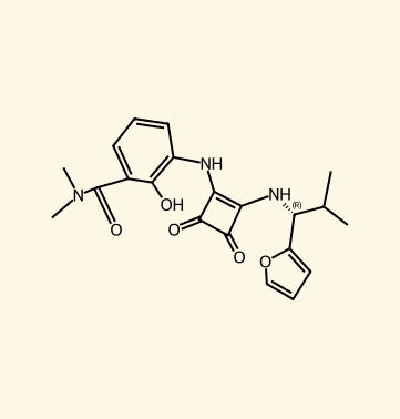 CC(C)[C@@H](Nc1c(Nc2cccc(C(=O)N(C)C)c2O)c(=O)c1=O)c1ccco1